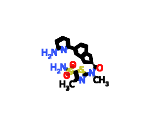 Cc1nc(N(C)C(=O)[C@H]2Cc3ccc(-c4cccc(N)n4)cc3C2)sc1S(N)(=O)=O